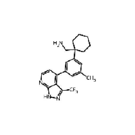 Cc1cc(-c2ccnc3[nH]nc(C(F)(F)F)c23)cc(C2(CN)CCCCC2)c1